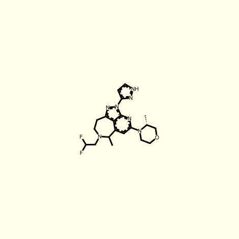 CC1c2cc(N3CCOC[C@H]3C)nc3c2c(nn3-c2cc[nH]n2)CCN1CC(F)F